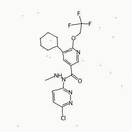 CNN(C(=O)c1cnc(OCC(F)(F)F)c(C2CCCCC2)c1)c1ccc(Cl)nn1